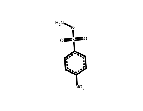 N[N]S(=O)(=O)c1ccc([N+](=O)[O-])cc1